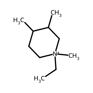 CC[N+]1(C)CCC(C)C(C)C1